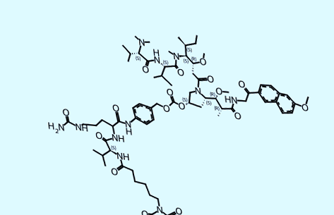 CC[C@H](C)[C@@H]([C@@H](CC(=O)N1C[C@@H](OC(=O)OCc2ccc(NC(=O)C(CCCNC(N)=O)NC(=O)[C@@H](NC(=O)CCCCCN3C(=O)C=CC3=O)C(C)C)cc2)C[C@H]1[C@H](OC)[C@@H](C)C(=O)NCC(=O)c1ccc2cc(OC)ccc2c1)OC)N(C)C(=O)[C@@H](NC(=O)[C@H](C(C)C)N(C)C)C(C)C